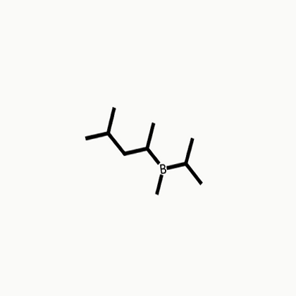 CB(C(C)C)C(C)CC(C)C